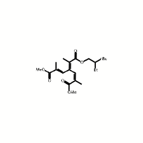 CCCCC(CC)COC(=O)C(C)=C(C=C(C)C(=O)OC)C=C(C)C(=O)OC